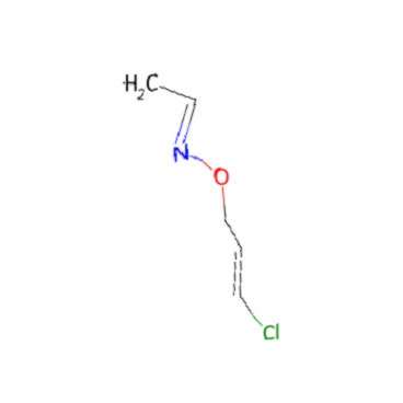 [CH2]C=NOCC=CCl